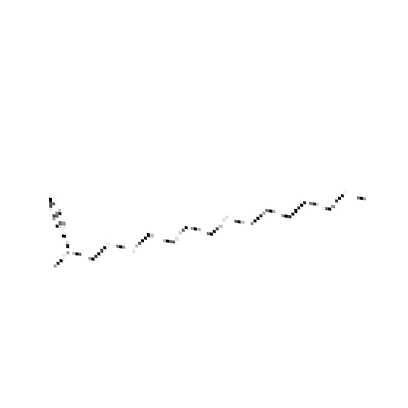 [CH2]C(C#N)CCCCCCCCCCCCCCC